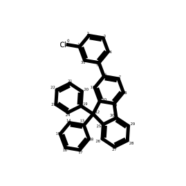 Clc1cccc(-c2ccc3c(c2)C(c2ccccc2)(c2ccccc2)c2ccccc2-3)c1